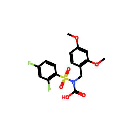 COc1ccc(CN(C(=O)O)S(=O)(=O)c2ccc(F)cc2F)c(OC)c1